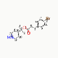 CC(C)(OC(=O)CCc1ccc(Br)cc1)C1CCNCC1